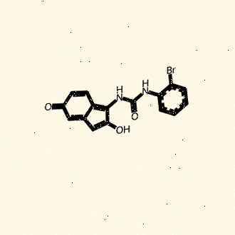 O=C1C=CC2=C(NC(=O)Nc3ccccc3Br)C(O)=CC2=C1